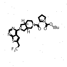 CC(C)(C)OC(=O)N1CCC[C@H]1C(=O)N1CC[C@H]2CN(c3ncnc4sc(CC(F)(F)F)cc34)C[C@H]2C1